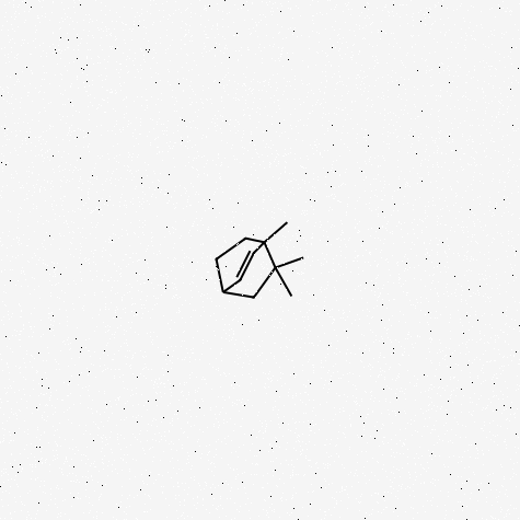 CC1(C)CC2C=CC1(C)CC2